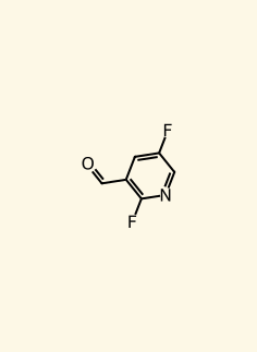 O=Cc1cc(F)cnc1F